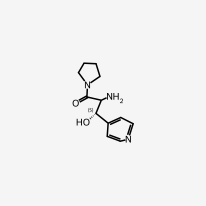 NC(C(=O)N1CCCC1)[C@@H](O)c1ccncc1